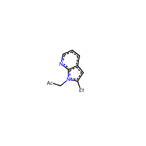 CCc1cc2cccnc2n1CC(C)=O